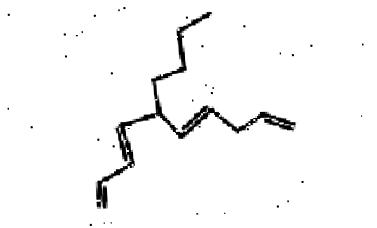 C=CC=CC(C=CCC=C)CCCC